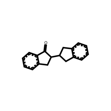 O=C1c2ccccc2CC1C1Cc2ccccc2C1